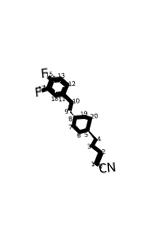 N#CC=CCC[C@H]1CC[C@H](CCc2ccc(F)c(F)c2)CC1